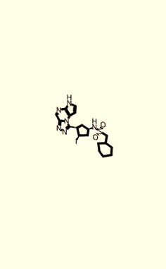 O=S(=O)(CC1CCCCC1)N[C@H]1C[C@@H](I)[C@@H](c2nnc3cnc4[nH]ccc4n23)C1